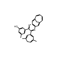 C/N=C(\C(=N/C1=CC=C2C=CC=CC(=C1)C2)C1=CC(C)=CCC(C)=C1)c1cc(C)cc(O)c1